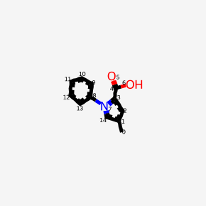 Cc1cc(C(=O)O)n(-c2ccccc2)c1